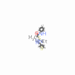 CCn1c(SC(C)C(=O)Nc2ccccc2)nnc1-c1ccsc1